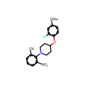 COc1ccc(OC2CCN(c3c(C#N)cccc3[N+](=O)[O-])CC2)c(F)c1